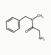 CN(Cc1ccccc1)C(=O)CN